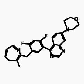 CC1=C(Cc2cc(-c3ncnc4cc(N5CCOCC5)ccc34)c(F)cc2F)N=CC=CC1